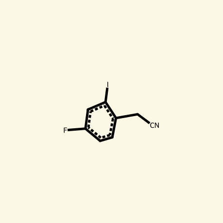 N#CCc1ccc(F)cc1I